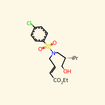 CCOC(=O)C=CCN(C[C@@H](CO)C(C)C)S(=O)(=O)c1ccc(Cl)cc1